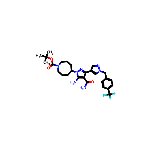 CC(C)(C)OC(=O)N1CCCC(n2nc(-c3cnn(Cc4ccc(C(F)(F)F)cc4)c3)c(C(N)=O)c2N)CCC1